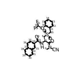 CN(C#N)C(=O)[C@H](CS(=O)(=O)Cc1ccccc1OC(F)F)NC(=O)c1ccc2ccccc2c1